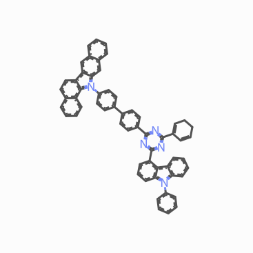 C1=CC(c2nc(-c3ccc(-c4ccc(-n5c6cc7ccccc7cc6c6ccc7ccccc7c65)cc4)cc3)nc(-c3cccc4c3c3ccccc3n4-c3ccccc3)n2)=CCC1